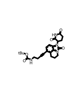 CC(C)(C)OC(=O)NCCC#Cc1ccc2c3c1CCCn3c(=O)n2C1CCC(=O)NC1=O